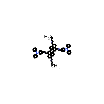 CCC/C=C/C1CCc2c(/C=C/c3ccc(N(c4ccccc4)c4ccccc4)cc3)cc3c4ccc5c6c(c(/C=C/c7ccc(N(c8ccccc8)c8ccccc8)cc7)cc(c7ccc1c2c73)c64)CCC5/C=C/CCC